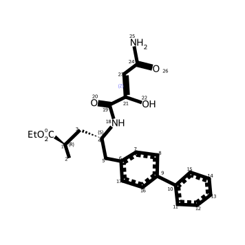 CCOC(=O)[C@H](C)C[C@@H](Cc1ccc(-c2ccccc2)cc1)NC(=O)/C(O)=C/C(N)=O